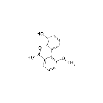 COc1cccc(C(=O)O)c1-c1cccc(O)c1